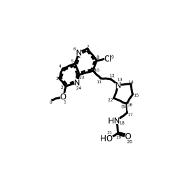 COc1ccc2ncc(Cl)c(CCN3CC[C@@H](CNC(=O)O)C3)c2n1